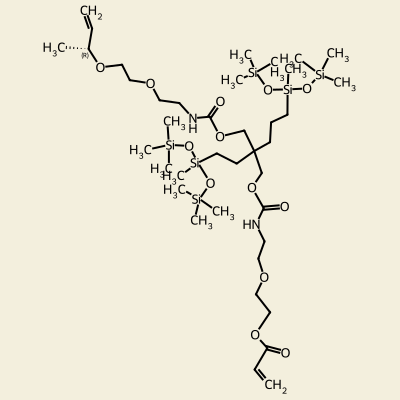 C=CC(=O)OCCOCCNC(=O)OCC(CCC[Si](C)(O[Si](C)(C)C)O[Si](C)(C)C)(CC[Si](C)(O[Si](C)(C)C)O[Si](C)(C)C)COC(=O)NCCOCCO[C@H](C)C=C